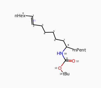 CCCCCC/C=C/CCCCCC(CCCCC)NC(=O)OC(C)(C)C